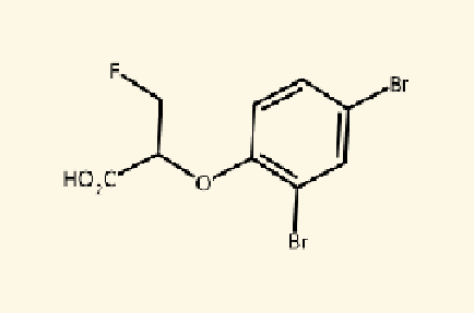 O=C(O)C(CF)Oc1ccc(Br)cc1Br